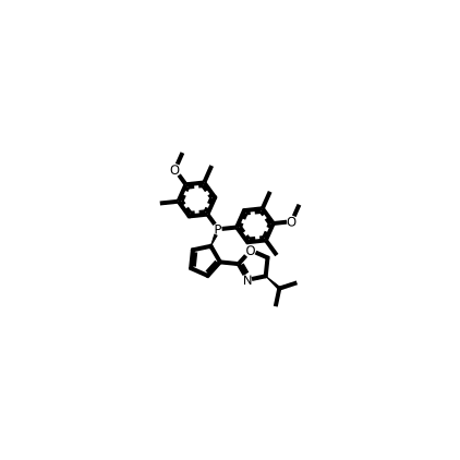 COc1c(C)cc(P(c2cc(C)c(OC)c(C)c2)[C@@H]2C=CC=C2C2=N[C@H](C(C)C)CO2)cc1C